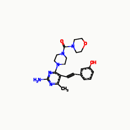 Cc1nc(N)nc(N2CCN(C(=O)N3CCOCC3)CC2)c1C#Cc1cccc(O)c1